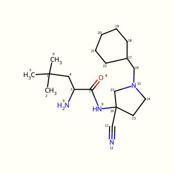 CC(C)(C)CC(N)C(=O)NC1(C#N)CCN(CC2CCCCC2)C1